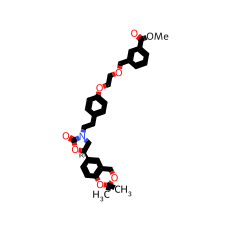 COC(=O)c1cccc(COCCOc2ccc(CCN3C[C@@H](c4ccc5c(c4)COC(C)(C)O5)OC3=O)cc2)c1